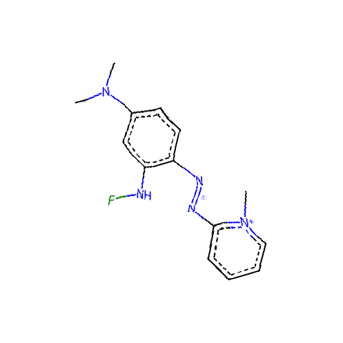 CN(C)c1ccc(/N=N/c2cccc[n+]2C)c(NF)c1